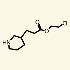 O=C(CCC1CCCNC1)OCCCl